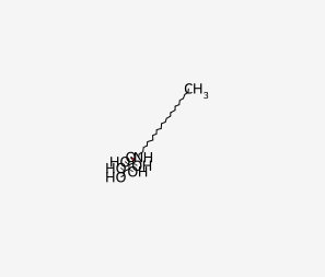 CCCCCCCCCCCCCCCCCCCCCCCNC(=O)[C@@H](O)[C@H](O)[C@@H](O)[C@H](O)CO